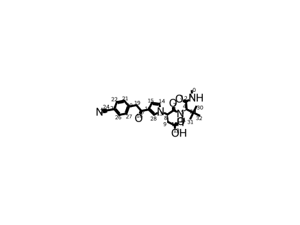 CNC(=O)[C@@H](NC(=O)[C@@H](CC(=O)O)n1ccc(C(=O)Cc2ccc(C#N)cc2)c1)C(C)(C)C